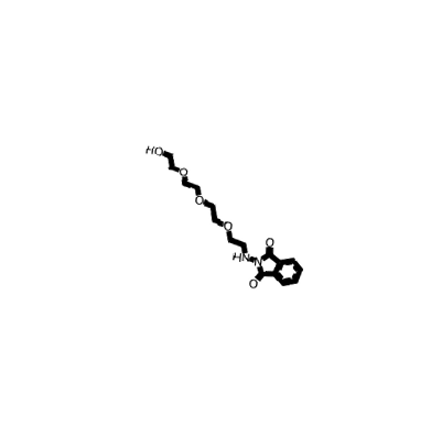 O=C1c2ccccc2C(=O)N1NCCOCCOCCOCCO